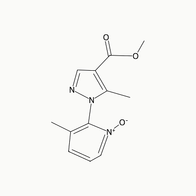 COC(=O)c1cnn(-c2c(C)ccc[n+]2[O-])c1C